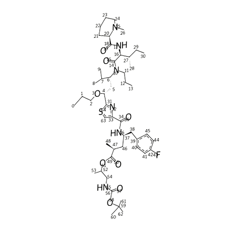 CCCO[C@H](C[C@H](C(C)C)N(CCC)C(=O)[C@@H](NC(=O)[C@H]1CCCCN1C)[C@@H](C)CC)c1nc(C(=O)N[C@@H](Cc2ccc(F)cc2)C[C@H](C)C(=O)OC(C)CNC(=O)OC(C)(C)C)cs1